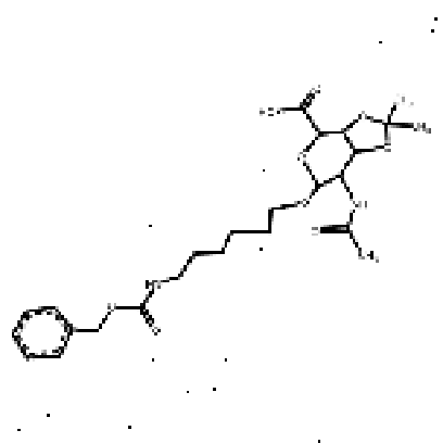 CC(=O)NC1C(OCCCCCCNC(=O)OCc2ccccc2)OC(C(=O)O)C2OC(C)(C)OC12